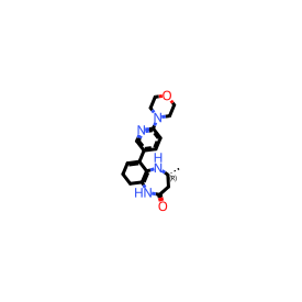 C[C@@H]1CC(=O)NC2=C(N1)C(c1ccc(N3CCOCC3)nc1)=CCC2